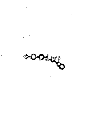 Cn1nc(NC(=O)c2ccc(N3CCN(C4COC4)CC3)nc2)cc1-c1nc2ccccc2[nH]1